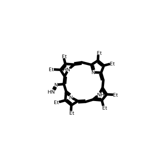 CCC1=C(CC)c2cc3[nH]c(c(CC)c3CC)c(N=N)c3nc(cc4[nH]c(cc1n2)c(CC)c4CC)C(CC)=C3CC